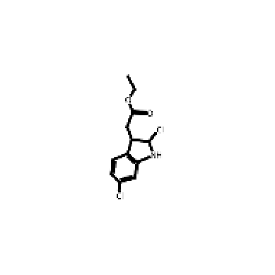 CCOC(=O)CC1c2ccc(Cl)cc2NC1Cl